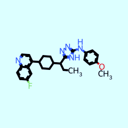 CCC(c1nnc(Nc2ccc(OC)cc2)[nH]1)C1CCC(c2ccnc3ccc(F)cc23)CC1